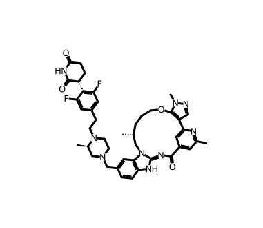 Cc1cc2cc(n1)-c1cnn(C)c1OCCC[C@@H](C)CN1/C(=N/C2=O)Nc2ccc(CN3CCN(CCc4cc(F)c([C@H]5CCC(=O)NC5=O)c(F)c4)[C@H](C)C3)cc21